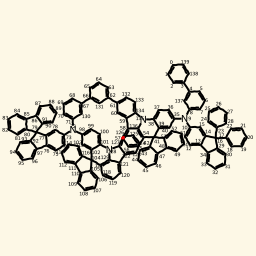 c1ccc(-c2cccc(N(c3ccc4c(c3)C(c3ccccc3)(c3ccccc3)c3ccccc3-4)c3ccc4c(c3)C3(c5ccccc5-c5ccccc53)c3cccc5c6cc(-c7cccc(-c8cccc(N(c9ccc%10c(c9)C9(c%11ccccc%11-c%11ccccc%119)c9ccccc9-%10)c9ccc%10c(c9)C9(c%11ccccc%11-c%11ccccc%119)c9cccc%11c%12ccccc%12n-%10c9%11)c8)c7)ccc6n-4c35)c2)cc1